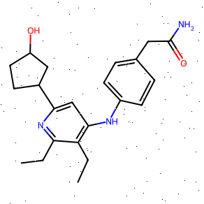 CCc1nc(C2CCC(O)C2)cc(Nc2ccc(CC(N)=O)cc2)c1CC